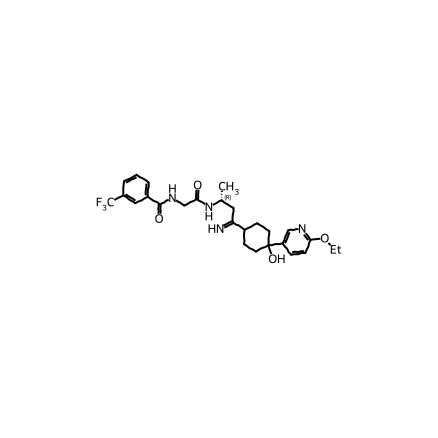 CCOc1ccc(C2(O)CCC(C(=N)C[C@@H](C)NC(=O)CNC(=O)c3cccc(C(F)(F)F)c3)CC2)cn1